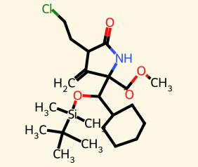 C=C1C(CCCl)C(=O)NC1(C(=O)OC)C(O[Si](C)(C)C(C)(C)C)C1CCCCC1